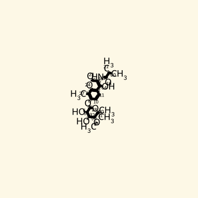 CO[C@@H]1[C@H](O)[C@@H](O)[C@H](Oc2ccc3c(O)c(NC(=O)C(C)C)c(=O)oc3c2C)OC1(C)C